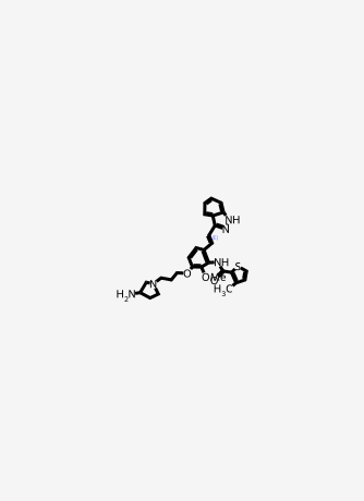 COc1c(OCCCN2CCC(N)C2)ccc(/C=C/c2n[nH]c3ccccc23)c1NC(=O)c1sccc1C